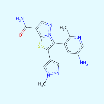 Cc1ncc(N)cc1-c1c(-c2cnn(C)c2)sc2c(C(N)=O)cnn12